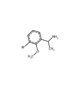 COc1c(Br)cccc1C(C)N